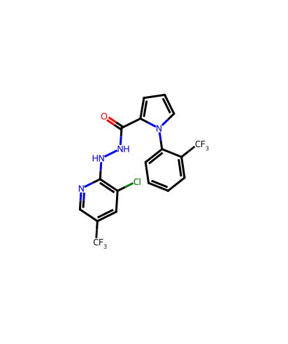 O=C(NNc1ncc(C(F)(F)F)cc1Cl)c1cccn1-c1ccccc1C(F)(F)F